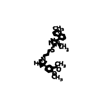 COc1ccc([C@@]23C[C@@H]2CN(CCCSc2nnc(-c4cccc5nc(C)ccc45)n2C)C3)cc1C(C)=O